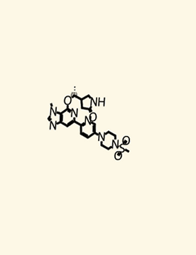 C[C@@H](Oc1nc(-c2ccc(N3CCN(S(C)(=O)=O)CC3)cn2)cc2ncn(C)c12)C1CNC(=O)C1